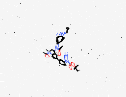 CC(=O)N(c1ccc(NCC2CC2)cc1)[C@@H]1C[C@H](C)N(C(C)=O)c2ccc(-c3cccc(NC(=O)OC(C)(C)C)c3)cc21